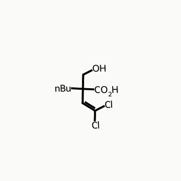 CCCCC(C=C(Cl)Cl)(CO)C(=O)O